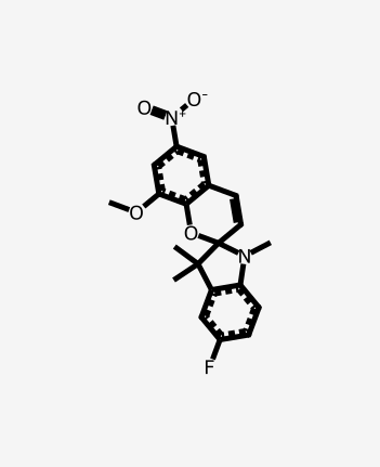 COc1cc([N+](=O)[O-])cc2c1OC1(C=C2)N(C)c2ccc(F)cc2C1(C)C